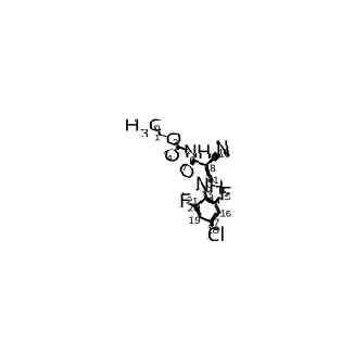 CCOC(=O)NC(=O)C(C#N)=CNc1c(F)cc(Cl)cc1F